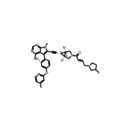 Cc1ccnc(Oc2ccc(-c3c(C#C[C@@H]4[C@H]5CN(C(=O)/C=C/CN6CCC(F)C6)C[C@@H]45)n(C)c4ncnc(N)c34)cc2)c1